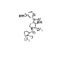 COc1ccnc(N2NNC3=C2CCN(C(=O)c2cccc(C(F)(F)F)c2Cl)[C@H]3C)c1